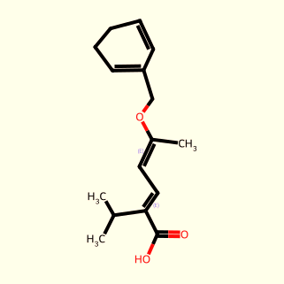 C/C(=C\C=C(\C(=O)O)C(C)C)OCC1=CCCC=C1